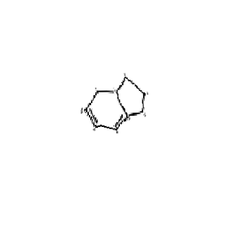 C1=CCN2CCCC2=C1